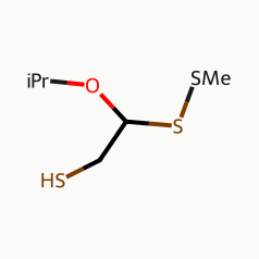 CSSC(CS)OC(C)C